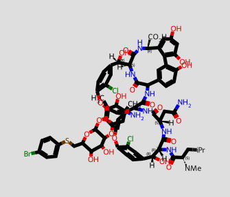 CN[C@@H](CC(C)C)C(=O)N[C@H]1C(=O)N[C@@H](CC(N)=O)C(=O)NC2C(=O)NC3C(=O)N[C@H](C(=O)N[C@@H](C(=O)O)c4cc(O)cc(O)c4-c4cc3ccc4O)[C@H](O)c3ccc(c(Cl)c3)Oc3cc2cc(c3OC2OC(CSc3ccc(Br)cc3)C(O)C(O)C2OC2CC(C)(N)C(O)C(C)O2)Oc2ccc(cc2Cl)[C@H]1O